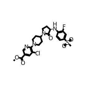 COC(=O)c1cnc(N2CCC(N3CC[C@H](Nc4ccc(S(C)(=O)=O)cc4F)C3=O)CC2)c(Cl)c1